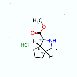 COC(=O)[C@H]1NC[C@@H]2CCC[C@@H]21.Cl